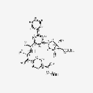 CCCCOC(=O)N1CCN(C(=O)[C@@H](NC(=O)c2cc(N3C[C@@H]4[C@H](C3)[C@@H]4C(=O)OCC)nc(-c3ccccc3)n2)C(C)C)CC1